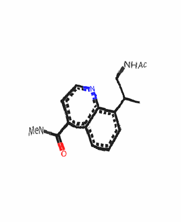 CNC(=O)c1ccnc2c(C(C)CNC(C)=O)cccc12